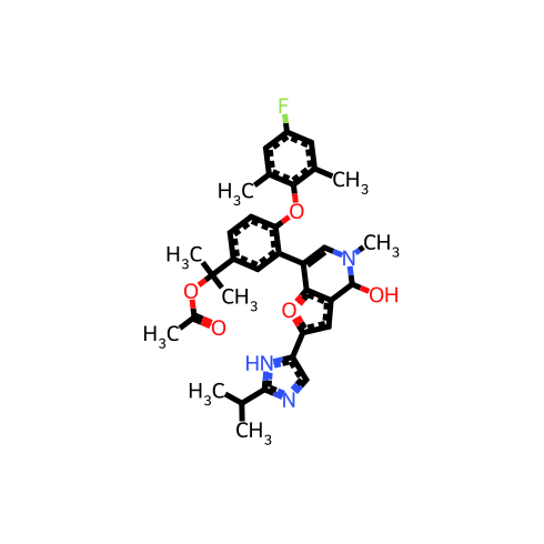 CC(=O)OC(C)(C)c1ccc(Oc2c(C)cc(F)cc2C)c(C2=CN(C)C(O)c3cc(-c4cnc(C(C)C)[nH]4)oc32)c1